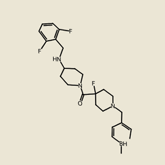 CB/C=C\C(=C/C)CN1CCC(F)(C(=O)N2CCC(NCc3c(F)cccc3F)CC2)CC1